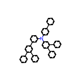 c1ccc(-c2ccc(N(c3cccc(-c4ccc(-c5ccccc5)c(-c5ccccc5)c4)c3)c3ccc(-c4ccccc4)c(-c4ccccc4)c3)cc2)cc1